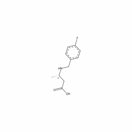 C[C@@H](CC(=O)O)NCc1ccc(F)cc1